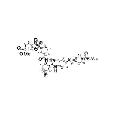 CCN(C1CCC(C(=O)OC)CC1)S(=O)(=O)c1cccc(C(=O)Nc2ccc(Br)cc2C(=O)Nc2ccc(CCc3ccc(C(=O)OC)cc3)cc2)c1